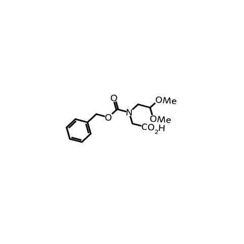 COC(CN(CC(=O)O)C(=O)OCc1ccccc1)OC